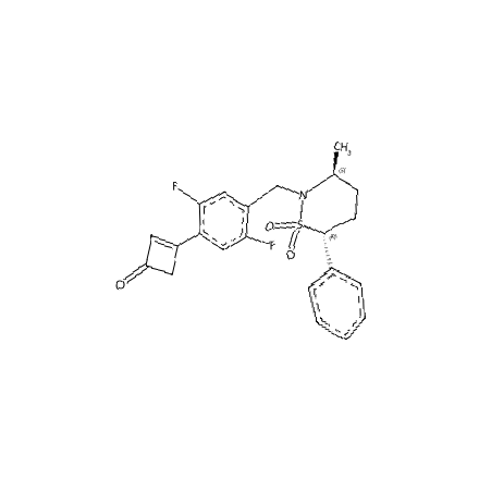 C[C@H]1CC[C@H](c2ccccc2)S(=O)(=O)N1Cc1cc(F)c(C2=CC(=O)C2)cc1F